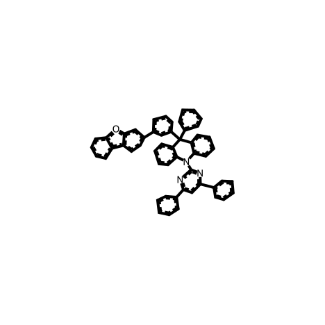 c1ccc(-c2cc(-c3ccccc3)nc(N3c4ccccc4C(c4ccccc4)(c4cccc(-c5ccc6c(c5)oc5ccccc56)c4)c4ccccc43)n2)cc1